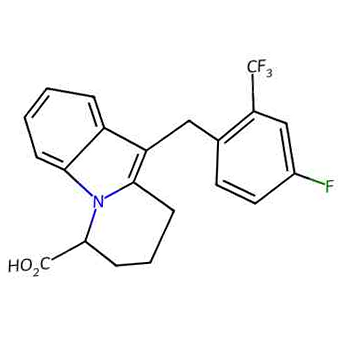 O=C(O)C1CCCc2c(Cc3ccc(F)cc3C(F)(F)F)c3ccccc3n21